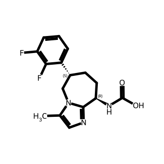 Cc1cnc2n1C[C@H](c1cccc(F)c1F)CC[C@H]2NC(=O)O